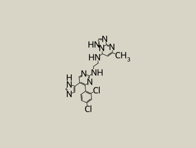 CC1=CC(NCCNc2ncc(-c3cnc[nH]3)c(-c3ccc(Cl)cc3Cl)n2)N2NC=NC2=N1